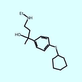 CCNCCC(C)(O)c1ccc(SC2CCCCC2)cc1